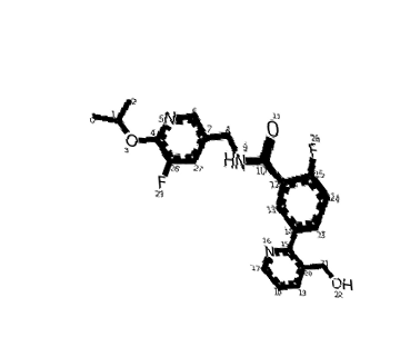 CC(C)Oc1ncc(CNC(=O)c2cc(-c3ncccc3CO)ccc2F)cc1F